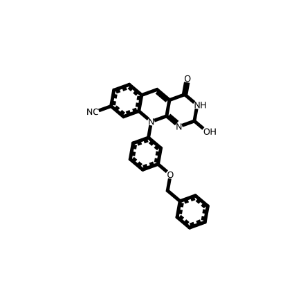 N#Cc1ccc2c(c1)N(c1cccc(OCc3ccccc3)c1)C1=NC(O)NC(=O)C1=C2